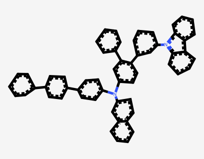 c1ccc(-c2ccc(-c3ccc(N(c4ccc(-c5cccc(-n6c7ccccc7c7ccccc76)c5)c(-c5ccccc5)c4)c4ccc5ccccc5c4)cc3)cc2)cc1